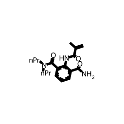 C=C(C)C(=O)Nc1c(C(N)=O)cccc1C(=O)N(CCC)CCC